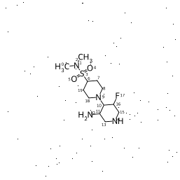 CN(C)S(=O)(=O)C1CCN(C2C(N)CNCC2F)CC1